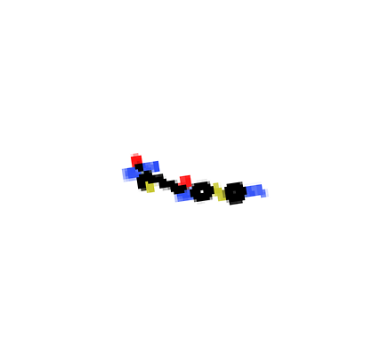 Nc1ccc(SSc2ccc(NC(=O)CCCCC3SCC4NC(=O)NC43)cc2)cc1